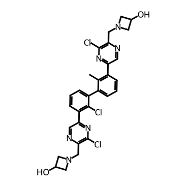 Cc1c(-c2cnc(CN3CC(O)C3)c(Cl)n2)cccc1-c1cccc(-c2cnc(CN3CC(O)C3)c(Cl)n2)c1Cl